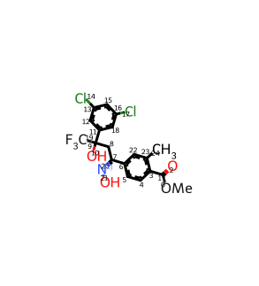 COC(=O)c1ccc(/C(CC(O)(c2cc(Cl)cc(Cl)c2)C(F)(F)F)=N\O)cc1C